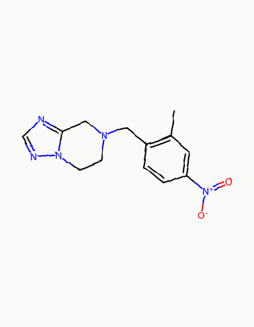 Cc1cc([N+](=O)[O-])ccc1CN1CCn2ncnc2C1